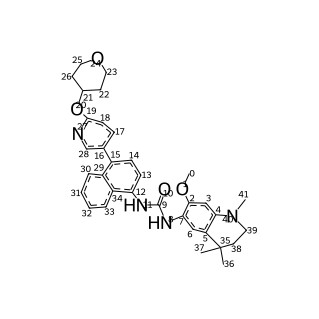 COc1cc2c(cc1NC(=O)Nc1ccc(-c3ccc(OC4CCOCC4)nc3)c3ccccc13)C(C)(C)CCN2C